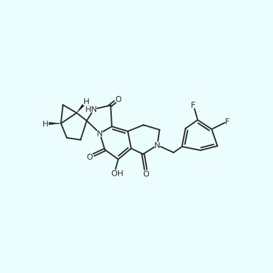 O=C1NC2(CC[C@@H]3C[C@@H]32)n2c1c1c(c(O)c2=O)C(=O)N(Cc2ccc(F)c(F)c2)CC1